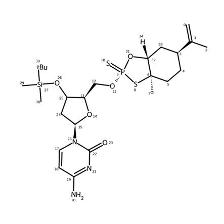 C=C(C)[C@H]1CC[C@@]2(C)S[P@](=S)(OC[C@H]3O[C@@H](n4ccc(N)nc4=O)CC3O[Si](C)(C)C(C)(C)C)O[C@@H]2C1